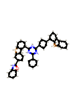 c1ccc(-c2nc(-c3ccc(-c4cccc5c4sc4ccccc45)cc3)nc(-c3cccc4sc5cc(-c6nc7ccccc7o6)ccc5c34)n2)cc1